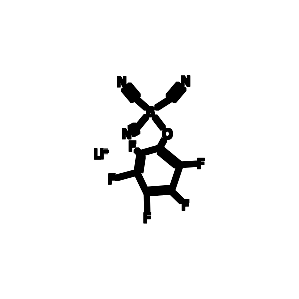 N#C[B-](C#N)(C#N)Oc1c(F)c(F)c(F)c(F)c1F.[Li+]